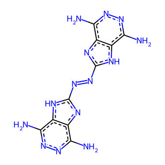 Nc1nnc(N)c2[nH]c(N=Nc3nc4c(N)nnc(N)c4[nH]3)nc12